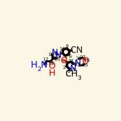 Cc1cc(Oc2cc(C#N)ccc2-n2cc(C(O)CN)cn2)cc(N2CCOCC2)n1